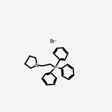 [Br-].c1ccc([P+](CCN2CCCC2)(c2ccccc2)c2ccccc2)cc1